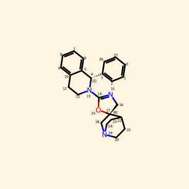 c1ccc([C@H]2c3ccccc3CCN2C2=NC[C@@]3(CN4CCC3CC4)O2)cc1